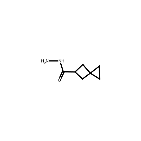 NNC(=O)C1CC2(CC2)C1